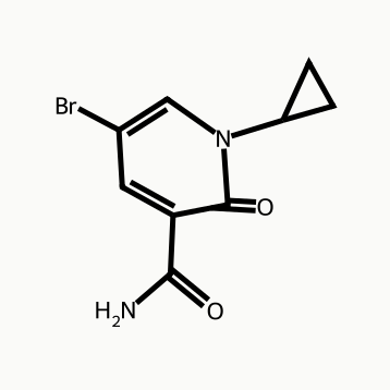 NC(=O)c1cc(Br)cn(C2CC2)c1=O